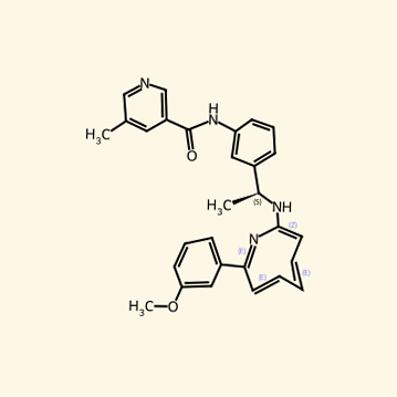 COc1cccc(C2=N/C(N[C@@H](C)c3cccc(NC(=O)c4cncc(C)c4)c3)=C\C=C\C=C\2)c1